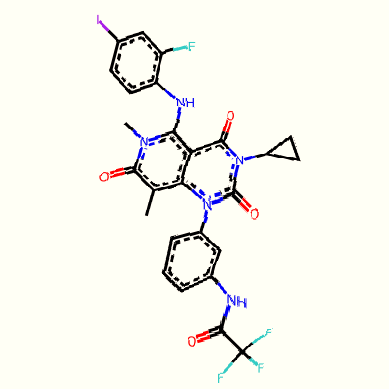 Cc1c(=O)n(C)c(Nc2ccc(I)cc2F)c2c(=O)n(C3CC3)c(=O)n(-c3cccc(NC(=O)C(F)(F)F)c3)c12